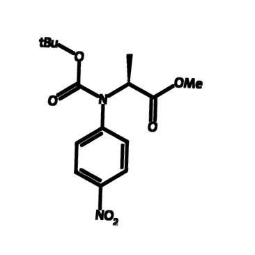 COC(=O)[C@H](C)N(C(=O)OC(C)(C)C)c1ccc([N+](=O)[O-])cc1